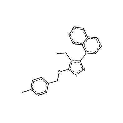 CCn1c(SCc2ccc(C)cc2)nnc1-c1cccc2ccccc12